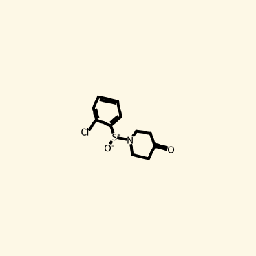 O=C1CCN([S+]([O-])c2ccccc2Cl)CC1